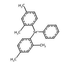 Cc1ccc([Se+](c2ccccc2)c2ccc(C)cc2C)c(C)c1